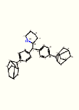 c1cc(C2C3CC4CC(C3)CC2C4)ccc1C(c1ccc(C2C3CC4CC(C3)CC2C4)cc1)C1CCCCN1